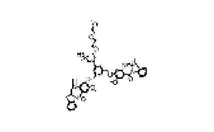 COCCOCCOCCN(CC(C)(C)S)c1cc(COc2cc3c(cc2OC)C(=O)N2c4ccccc4C[C@H]2C=N3)cc(COc2cc3c(cc2OC)C(=O)N2C(=CN3)Cc3ccccc32)c1